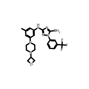 Bc1nc(Nc2cc(C)cc(N3CCN(C4COC4)CC3)c2)nn1-c1cccc(C(F)(F)F)c1